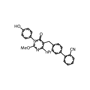 CCCc1nc(OC)n(-c2ccc(O)cc2)c(=O)c1Cc1ccc(-c2ccccc2C#N)cc1